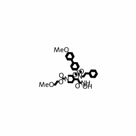 COCCOC(=O)N1CCC(C(C(=O)NO)N(CCc2ccccc2)S(=O)(=O)c2ccc(-c3ccc(OC)cc3)cc2)CC1